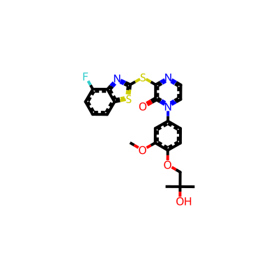 COc1cc(-n2ccnc(Sc3nc4c(F)cccc4s3)c2=O)ccc1OCC(C)(C)O